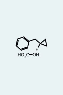 FC1(Cc2ccccc2)CC1.O=C(O)O